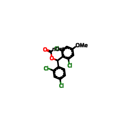 CCCCCCCCC(=O)OC(c1ccc(Cl)cc1Cl)c1c(Cl)cc(OC)cc1Cl